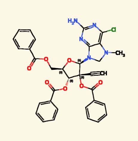 C#C[C@@]1(OC(=O)c2ccccc2)[C@H](OC(=O)c2ccccc2)[C@@H](COC(=O)c2ccccc2)O[C@H]1N1CN(C)c2c(Cl)nc(N)nc21